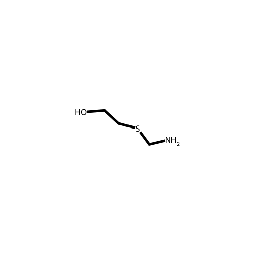 NCSCCO